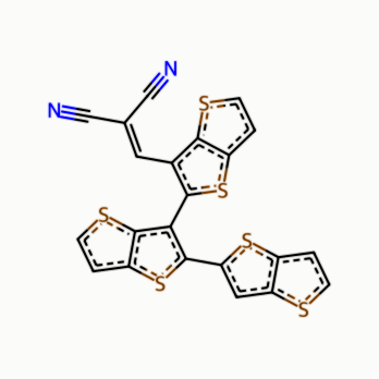 N#CC(C#N)=Cc1c(-c2c(-c3cc4sccc4s3)sc3ccsc23)sc2ccsc12